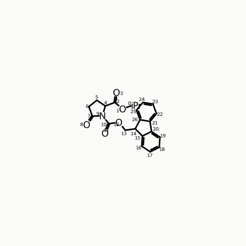 CC(C)OC(=O)C1CCC(=O)N1C(=O)OCC1c2ccccc2-c2ccccc21